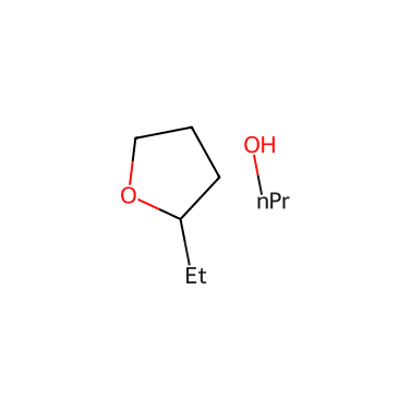 CCC1CCCO1.CCCO